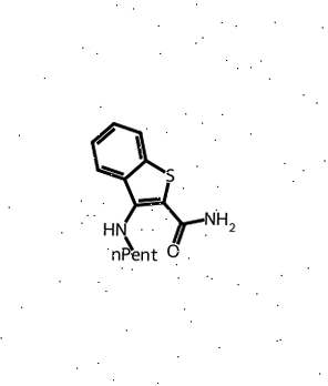 CCCCCNc1c(C(N)=O)sc2ccccc12